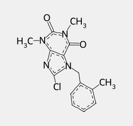 Cc1ccccc1Cn1c(Cl)nc2c1c(=O)n(C)c(=O)n2C